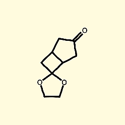 O=C1CC2CC3(OCCO3)C2C1